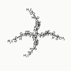 C=CC(=O)OCCNC(=O)OCC(F)(F)C(F)(F)C(F)(F)OC(F)C(F)(F)OCC(COC(F)(F)C(F)OC(F)(F)C(F)(F)C(F)(F)COC(=O)NCCOC(=O)C=C)(COC(F)(F)C(F)OC(F)(F)C(F)(F)C(F)(F)COC(=O)NCCOC(=O)C=C)COC(F)(F)C(F)OC(F)(F)C(F)(F)C(F)(F)COC(=O)NCCOC(=O)C=C